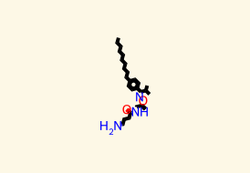 C=C(CNC(=O)CCCN)O/N=C(/c1ccc(CCCCCCCCCC)cc1)C(C)C